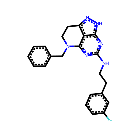 Fc1cccc(CCNc2nc3c4c(n[nH]c4n2)CCN3Cc2ccccc2)c1